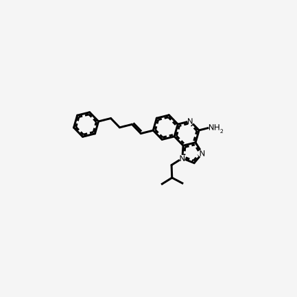 CC(C)Cn1cnc2c(N)nc3ccc(/C=C/CCc4ccccc4)cc3c21